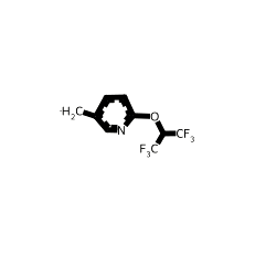 [CH2]c1ccc(OC(C(F)(F)F)C(F)(F)F)nc1